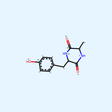 CC1NC(=O)C(Cc2ccc(O)cc2)NC1=O